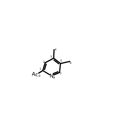 CC(=O)c1cc(C)c(C)cn1